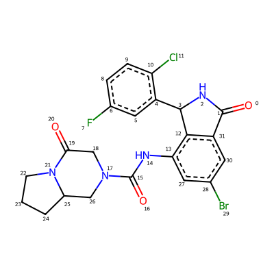 O=C1NC(c2cc(F)ccc2Cl)c2c(NC(=O)N3CC(=O)N4CCCC4C3)cc(Br)cc21